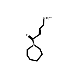 CCCCCCCCC=CC(=O)N1CCCCCC1